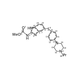 COC(=O)Nc1nc2cc(Sc3ccc(N4CCN(C(C)C)CC4)cc3)ccc2[nH]1